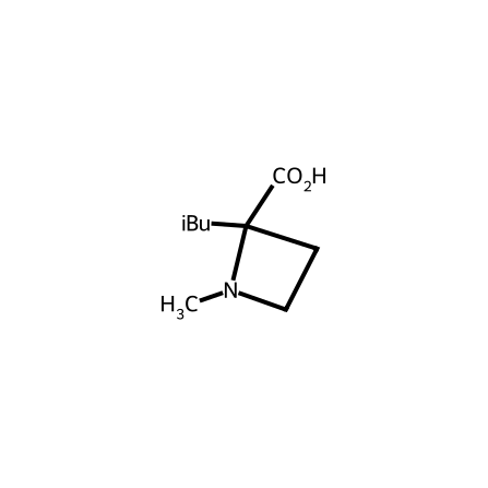 CCC(C)C1(C(=O)O)CCN1C